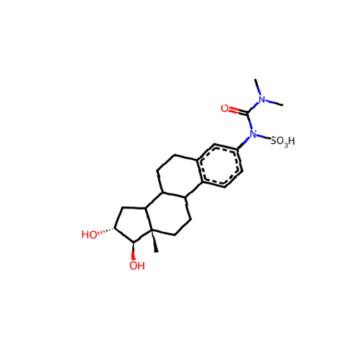 CN(C)C(=O)N(c1ccc2c(c1)CCC1C2CC[C@@]2(C)C1C[C@@H](O)[C@@H]2O)S(=O)(=O)O